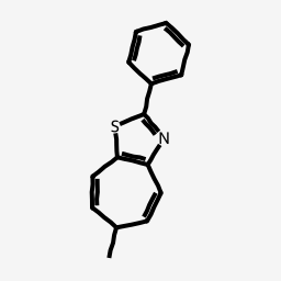 CC1C=Cc2nc(-c3ccccc3)sc2C=C1